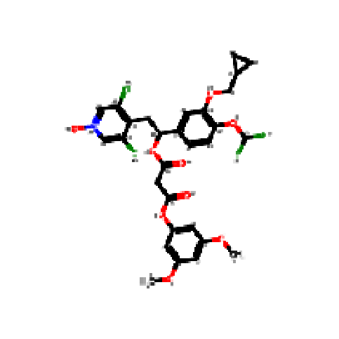 COc1cc(OC)cc(OC(=O)CC(=O)O[C@@H](Cc2c(Cl)c[n+]([O-])cc2Cl)c2ccc(OC(F)F)c(OCC3CC3)c2)c1